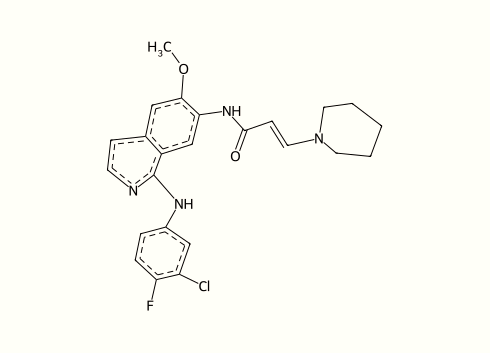 COc1cc2ccnc(Nc3ccc(F)c(Cl)c3)c2cc1NC(=O)C=CN1CCCCC1